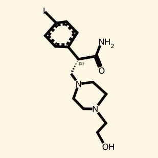 NC(=O)[C@H](CN1CCN(CCO)CC1)c1ccc(I)cc1